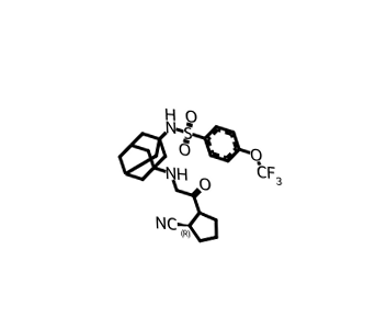 N#C[C@@H]1CCCC1C(=O)CNC12CC3CC(C1)CC(NS(=O)(=O)c1ccc(OC(F)(F)F)cc1)(C3)C2